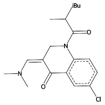 CCC(C)C(C)C(=O)N1C/C(=C/N(C)C)C(=O)c2cc(Cl)ccc21